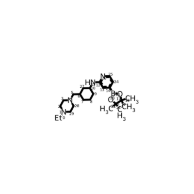 CCN1CCN(CC2CCCC(Nc3cc(B4OC(C)(C)C(C)(C)O4)ccn3)C2)CC1